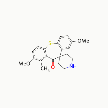 COc1ccc2c(c1)C1(CCNCC1)C(=O)c1c(ccc(OC)c1C)S2